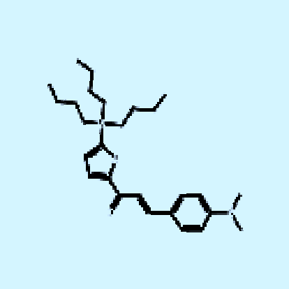 CCC[CH2][Sn]([CH2]CCC)([CH2]CCC)[c]1ccc(C(=O)C=Cc2ccc(N(C)C)cc2)s1